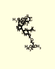 C[Si](C)(C)CCOCOc1ncc(-c2nnn(C[Si](C)(C)C)c2COC2CCCCO2)nc1C1CC1